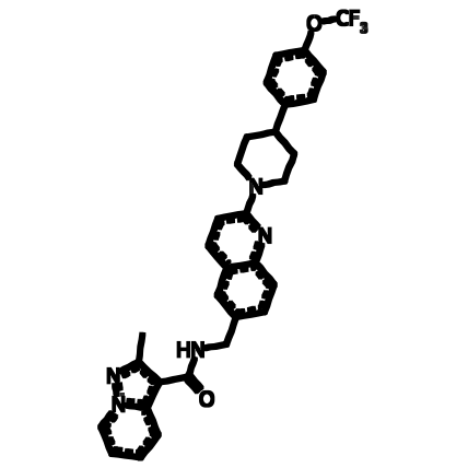 Cc1nn2ccccc2c1C(=O)NCc1ccc2nc(N3CCC(c4ccc(OC(F)(F)F)cc4)CC3)ccc2c1